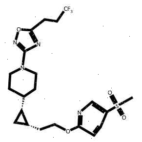 CS(=O)(=O)c1ccc(OCC[C@@H]2C[C@@H]2C2CCN(c3noc(CCC(F)(F)F)n3)CC2)nc1